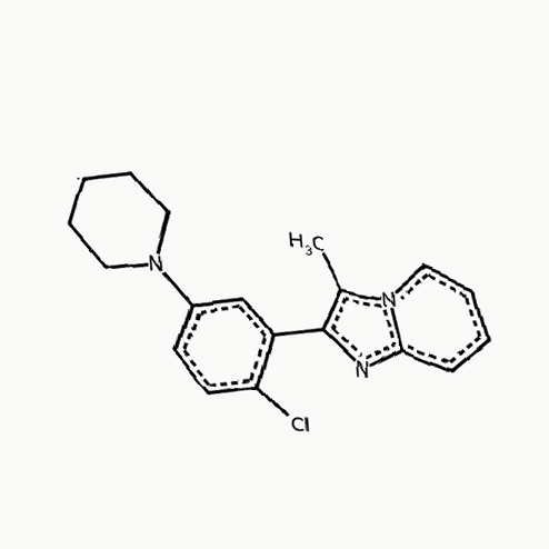 Cc1c(-c2cc(N3CC[CH]CC3)ccc2Cl)nc2ccccn12